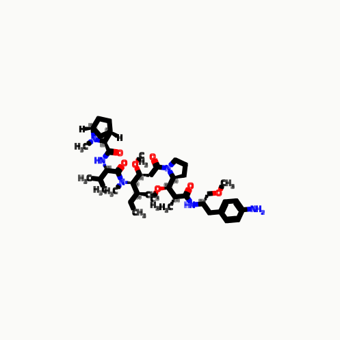 CC[C@H](C)[C@@H]([C@@H](CC(=O)N1CCC[C@H]1[C@H](OC)[C@@H](C)C(=O)N[C@H](COC)Cc1ccc(N)cc1)OC)N(C)C(=O)[C@@H](NC(=O)[C@@H]1[C@H]2CC[C@H](C2)N1C)C(C)C